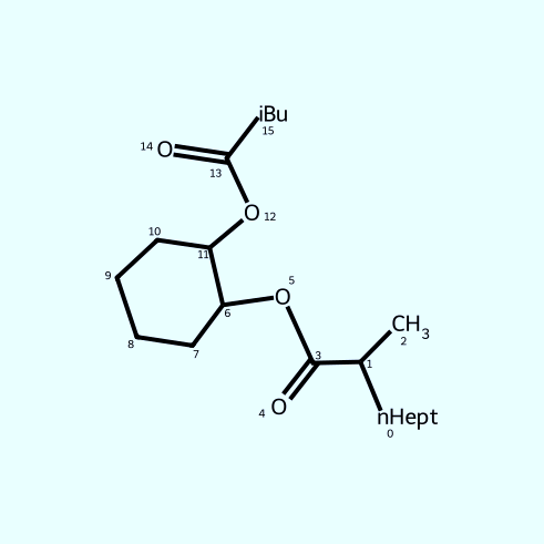 CCCCCCCC(C)C(=O)OC1CCCCC1OC(=O)C(C)CC